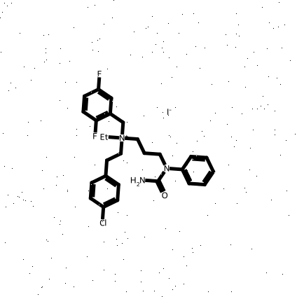 CC[N+](CCCN(C(N)=O)c1ccccc1)(CCc1ccc(Cl)cc1)Cc1cc(F)ccc1F.[I-]